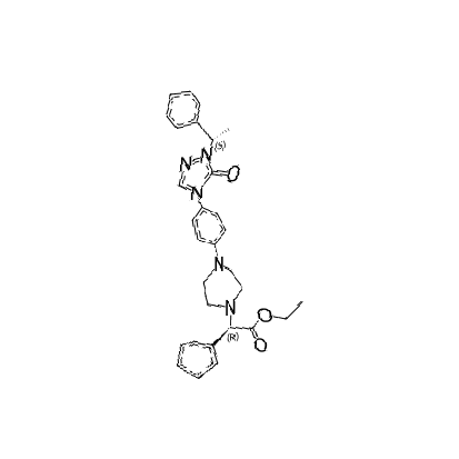 CCOC(=O)[C@@H](c1ccccc1)N1CCN(c2ccc(-n3cnn([C@@H](C)c4ccccc4)c3=O)cc2)CC1